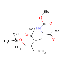 C=CC(CO[Si](C)(C)C(C)(C)C)C(C[C@H](NC(=O)OC(C)(C)C)C(=O)OC)C(=O)OC